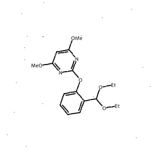 CCOC(OCC)c1ccccc1Oc1nc(OC)cc(OC)n1